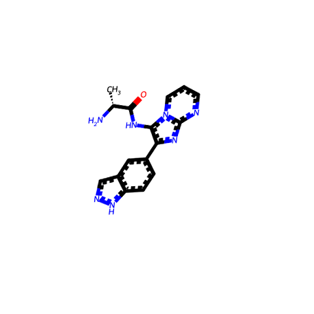 C[C@@H](N)C(=O)Nc1c(-c2ccc3[nH]ncc3c2)nc2ncccn12